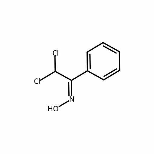 ON=C(c1ccccc1)C(Cl)Cl